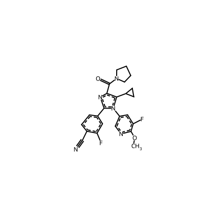 COc1ncc(-n2c(-c3ccc(C#N)c(F)c3)nc(C(=O)N3CCCC3)c2C2CC2)cc1F